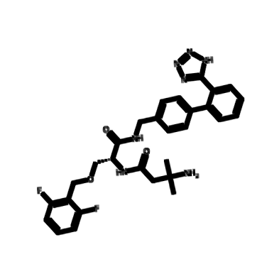 CC(C)(N)CC(=O)N[C@H](COCc1c(F)cccc1F)C(=O)NCc1ccc(-c2ccccc2-c2nnn[nH]2)cc1